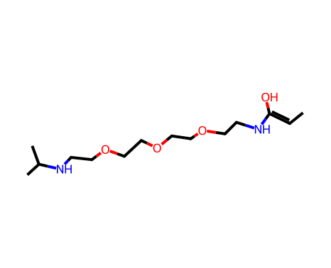 CC=C(O)NCCOCCOCCOCCNC(C)C